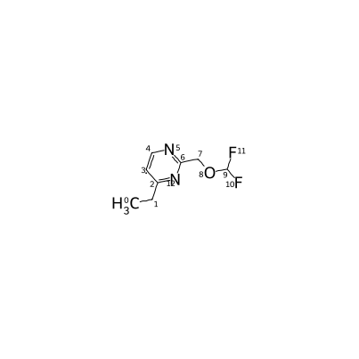 CCc1[c]cnc(COC(F)F)n1